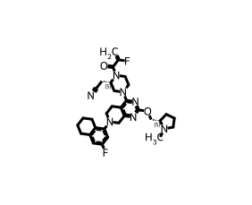 C=C(F)C(=O)N1CCN(c2nc(OC[C@@H]3CCCN3C)nc3c2CCN(c2cc(F)cc4c2CCCC4)C3)C[C@@H]1CC#N